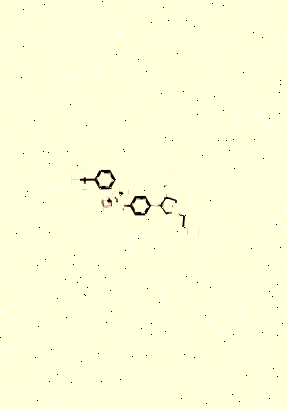 CCCN1C[C@@H](CF)[C@H](c2ccc(NS(=O)(=O)c3cccc(C(F)(F)F)c3)cc2)C1